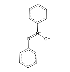 O[N+](=Nc1ccccc1)c1ccccc1